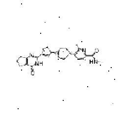 CNC(=O)c1ccc(N2CCN(C3C=C(c4nc5c(c(=O)[nH]4)CCC5)CC3)CC2)c(C)n1